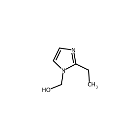 CCc1nccn1CO